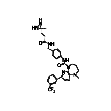 CN1CCCN(C(=O)Nc2ccc(CNC(=O)CCC3(C)NN3)cc2)c2nc(-c3cccc(C(F)(F)F)c3)ccc21